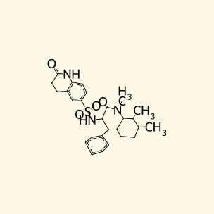 CC1CCCC(N(C)C(=O)C(Cc2ccccc2)NS(=O)(=O)c2ccc3c(c2)CCC(=O)N3)C1C